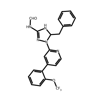 O=CNC1=NN(c2cc(-c3ccccc3OC(F)(F)F)ccn2)C(Cc2ccccc2)N1